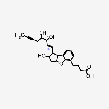 CC#CCC(C)C(O)/C=C/C1C(O)CC2Oc3c(CCCC(=O)O)cccc3C21